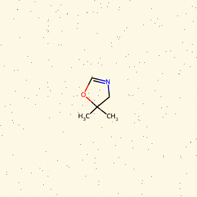 CC1(C)CN=[C]O1